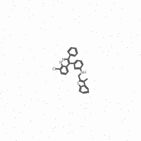 Cc1c(CNc2cccc(-c3c(-c4ccccc4)nnc4c(Cl)cccc34)c2)sc2ccccc12